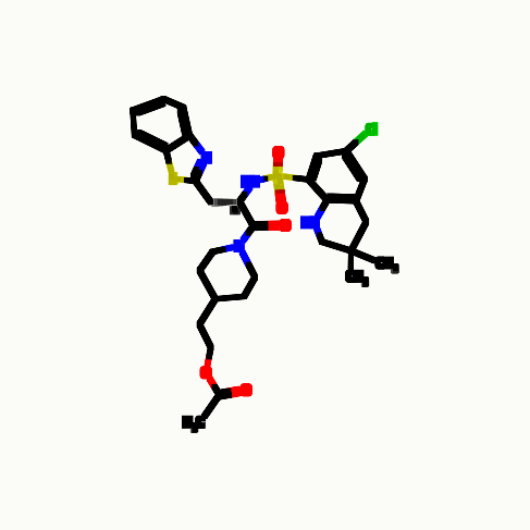 CC(=O)OCCC1CCN(C(=O)[C@H](Cc2nc3ccccc3s2)NS(=O)(=O)c2cc(Cl)cc3c2NCC(C)(C)C3)CC1